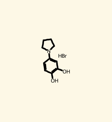 Br.Oc1ccc(N2CCCC2)cc1O